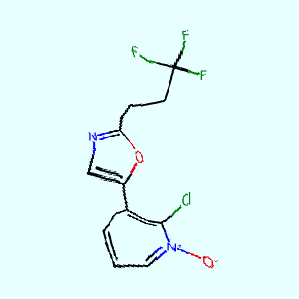 [O-][n+]1cccc(-c2cnc(CCC(F)(F)F)o2)c1Cl